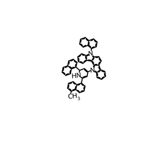 Cc1cccc2c(C3=CC(n4c5ccccc5c5ccc6c(c7ccccc7n6-c6cccc7ccccc67)c54)=CC(c4cccc5ccccc45)N3)cccc12